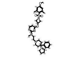 COc1cc(C)c(S(=O)(=O)N2CC(Oc3ccnc(N(C)CCN4CCC(c5ccccc5)(N5CCCC5)CC4)n3)C2)c(C)c1